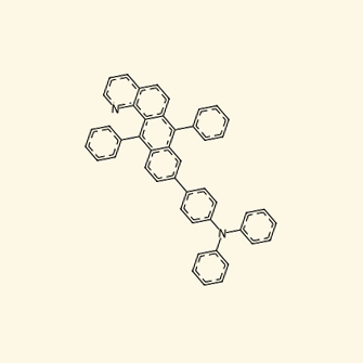 c1ccc(-c2c3cc(-c4ccc(N(c5ccccc5)c5ccccc5)cc4)ccc3c(-c3ccccc3)c3c2ccc2cccnc23)cc1